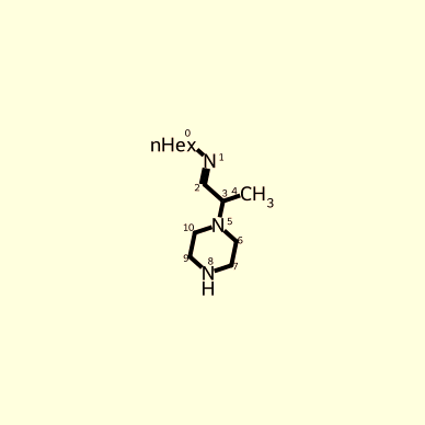 CCCCCCN=CC(C)N1CCNCC1